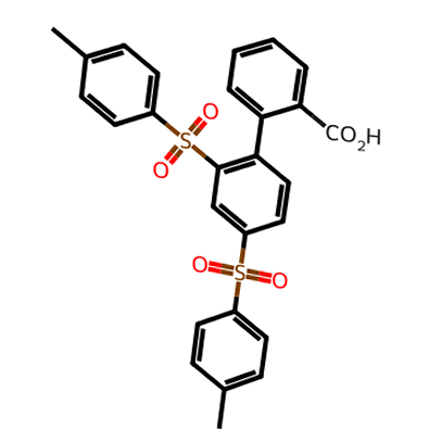 Cc1ccc(S(=O)(=O)c2ccc(-c3ccccc3C(=O)O)c(S(=O)(=O)c3ccc(C)cc3)c2)cc1